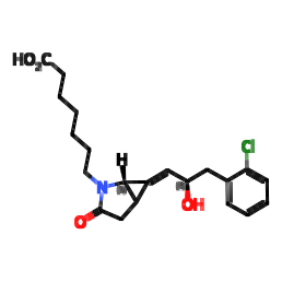 O=C(O)CCCCCCN1C(=O)CC2C(=C[C@H](O)Cc3ccccc3Cl)[C@H]21